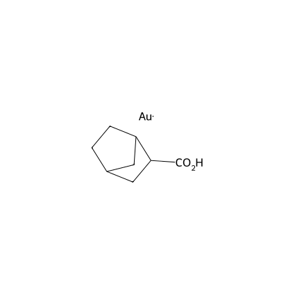 O=C(O)C1CC2CCC1C2.[Au]